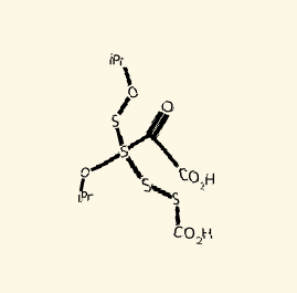 CC(C)OSS(OC(C)C)(SSC(=O)O)C(=O)C(=O)O